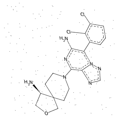 Nc1nc(N2CCC3(CC2)COC[C@H]3N)c2ncnn2c1-c1cccc(Cl)c1Cl